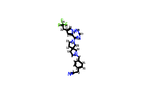 N#CCc1ccc(CN2CCC3(CCN(c4ncnn5cc(CC(F)(F)F)cc45)C3)C2)cc1